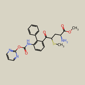 COC(=O)[C@@H](N)CC(SC)C(=O)c1cccc(NC(=O)Oc2ncccn2)c1-c1ccccc1